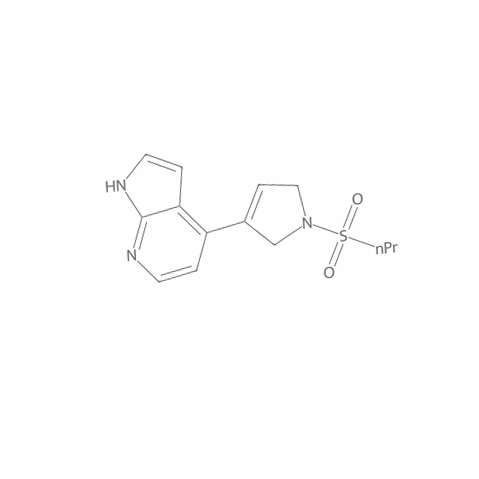 CCCS(=O)(=O)N1CC=C(c2ccnc3[nH]ccc23)C1